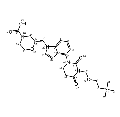 C[Si](C)(C)CCOCN1C(=O)CCN(c2cccc3c2ccn3C[C@@H]2CN(C(=O)O)CCO2)C1=O